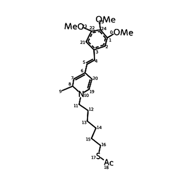 COc1cc(/C=C/C2=CC(C)N(CCCCCCSC(C)=O)C=C2)cc(OC)c1OC